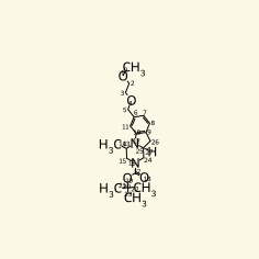 COCCOCc1ccc2c(c1)N1C(C)CN(C(=O)OC(C)(C)C)C[C@H]1C2